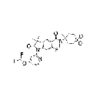 CC1(NC(=O)c2cc3c(cc2F)N(c2cc(OC(F)F)ccn2)C(=O)C3(C)C)CCS(=O)(=O)CC1